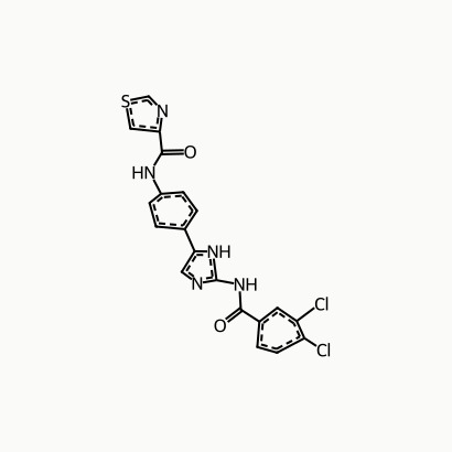 O=C(Nc1ncc(-c2ccc(NC(=O)c3cscn3)cc2)[nH]1)c1ccc(Cl)c(Cl)c1